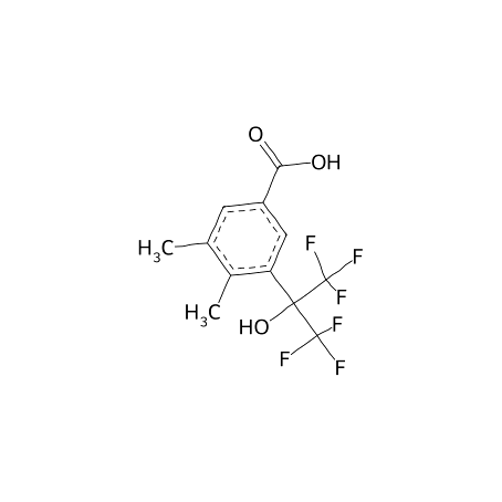 Cc1cc(C(=O)O)cc(C(O)(C(F)(F)F)C(F)(F)F)c1C